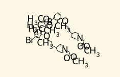 COC(=O)CN1CCC(CCCOc2cccc(B3OC(C)(C)C(C)(C)O3)c2C)CC1.COC(=O)CN1CCC(CCCOc2cccc(Br)c2C)CC1